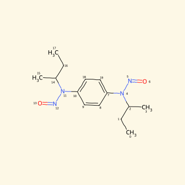 CCC(C)N(N=O)c1ccc(N(N=O)C(C)CC)cc1